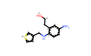 Nc1ccc(NCc2ccsc2)c(CCO)c1